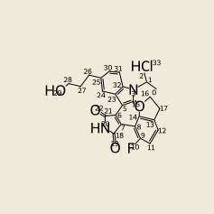 CC(C)n1cc(C2=C(c3c(F)ccc4c3OCC4)C(=O)NC2=O)c2cc(CCCO)ccc21.Cl